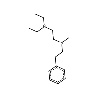 CCN(CC)CCN(C)CCc1ccccc1